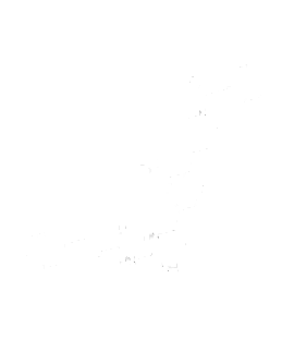 N=C(NC(=O)OCc1ccccc1)NC(=O)c1ccc(C2CCN(C(=O)c3ccccc3)CC2)c(C(F)(F)F)c1